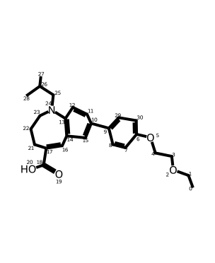 CCOCCOc1ccc(-c2ccc3c(c2)C=C(C(=O)O)CCCN3CC(C)C)cc1